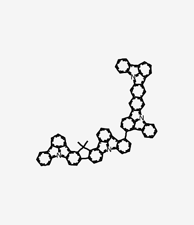 CC1(C)c2c(ccc3c2c2cccc4c5ccccc5n3c42)-c2ccc3c(c21)c1cccc2c4c(-c5ccc6c7cc8cc9c(cc8cc7n7c8ccccc8c5c67)c5cccc6c7ccccc7n9c65)cccc4n3c21